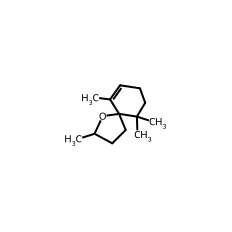 CC1=CCCC(C)(C)C12CCC(C)O2